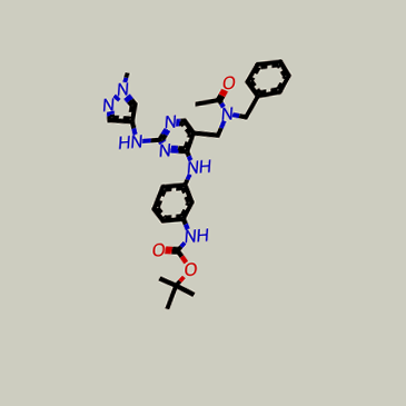 CC(=O)N(Cc1ccccc1)Cc1cnc(Nc2cnn(C)c2)nc1Nc1cccc(NC(=O)OC(C)(C)C)c1